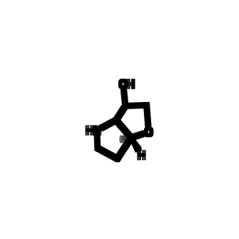 OC1CO[C@@H]2CCNC12